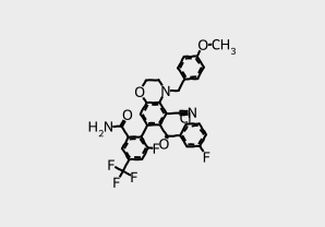 COc1ccc(CN2CCOc3cc(-c4c(F)cc(C(F)(F)F)cc4C(N)=O)c(C(=O)c4cc(F)ccc4Cl)c(C#N)c32)cc1